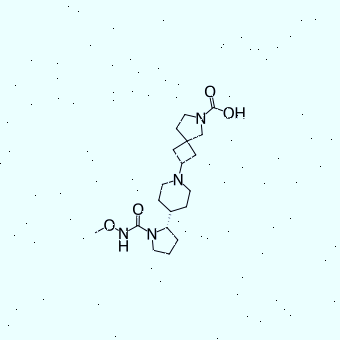 CONC(=O)N1CCC[C@H]1C1CCN(C2CC3(CCN(C(=O)O)C3)C2)CC1